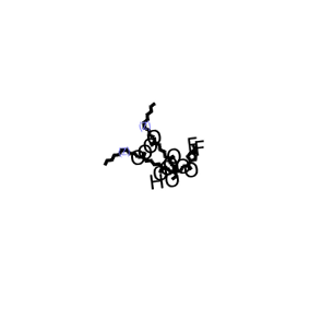 CCCCC/C=C\CCOC(=O)CCCCC(=O)OCC(CO)(COC(=O)CCCCC(=O)OCC/C=C\CCCCC)COC(=O)C1CC2C(C1)C2(F)F